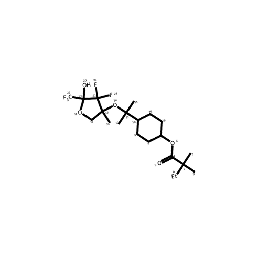 CCC(C)(C)C(=O)OC1CCC(C(C)(C)OC2(C)COC(O)(C(F)(F)F)C2(F)F)CC1